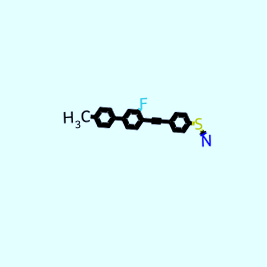 Cc1ccc(-c2ccc(C#Cc3ccc(SC#N)cc3)c(F)c2)cc1